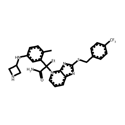 CCC(C(N)=O)(c1cc(NC2CNC2)ccc1C)n1cccc2nc(SCc3ccc(C(F)(F)F)cc3)nc1-2